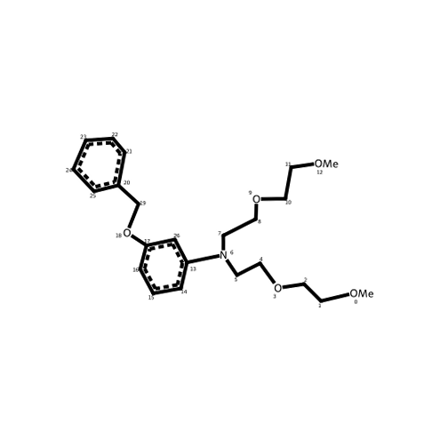 COCCOCCN(CCOCCOC)c1cccc(OCc2ccccc2)c1